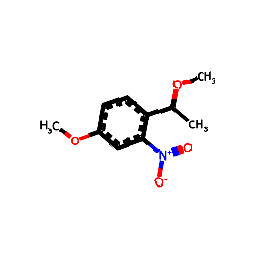 COc1ccc(C(C)OC)c([N+](=O)[O-])c1